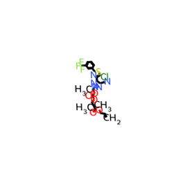 C=CCOC(=O)C(C)(C)COC(=O)OC(C)n1nc(C#N)c(-c2nc(-c3cccc(C(F)(F)F)c3)sc2Cl)n1